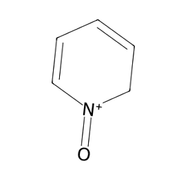 O=[N+]1C=CC=CC1